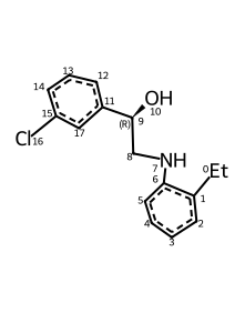 CCc1ccccc1NC[C@H](O)c1cccc(Cl)c1